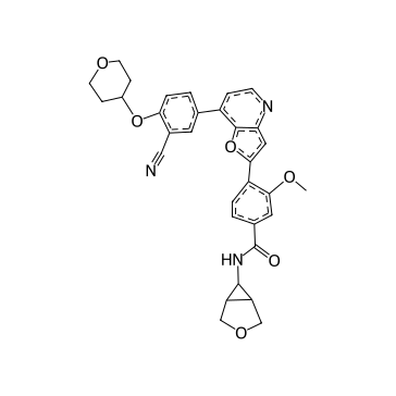 COc1cc(C(=O)NC2C3COCC32)ccc1-c1cc2nccc(-c3ccc(OC4CCOCC4)c(C#N)c3)c2o1